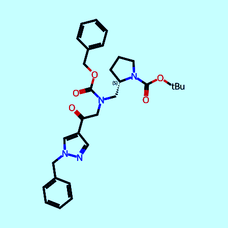 CC(C)(C)OC(=O)N1CCC[C@H]1CN(CC(=O)c1cnn(Cc2ccccc2)c1)C(=O)OCc1ccccc1